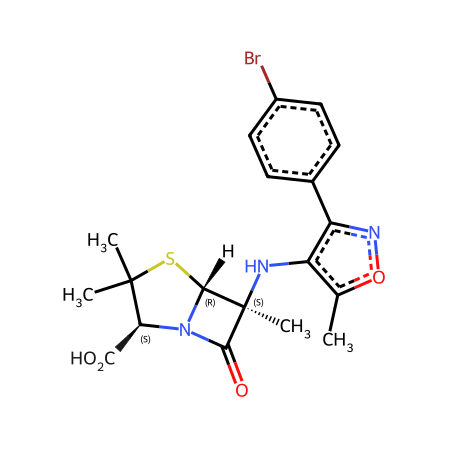 Cc1onc(-c2ccc(Br)cc2)c1N[C@@]1(C)C(=O)N2[C@@H](C(=O)O)C(C)(C)S[C@@H]21